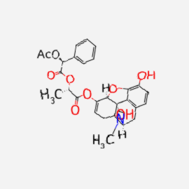 CC(=O)O[C@H](C(=O)O[C@@H](C)C(=O)OC1=CC[C@]2(O)[C@@H]3Cc4ccc(O)c5c4[C@]2(CCN3C)[C@@H]1O5)c1ccccc1